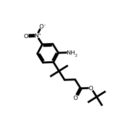 CC(C)(C)OC(=O)CCC(C)(C)c1ccc([N+](=O)[O-])cc1N